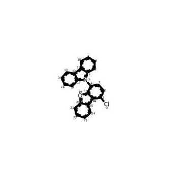 Clc1ccc(-n2c3ccccc3c3ccccc32)c2oc3ccccc3c12